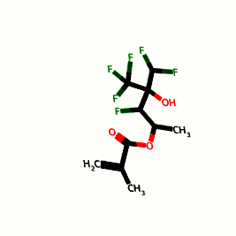 C=C(C)C(=O)OC(C)C(F)C(O)(C(F)F)C(F)(F)F